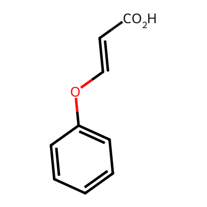 O=C(O)C=COc1ccccc1